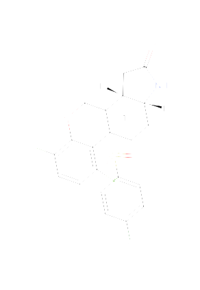 O=C1C[C@@H]2[C@@H](CC[C@@]3(S(=O)(=O)c4ccc(Cl)cc4)c4c(F)ccc(F)c4OC[C@@H]23)N1